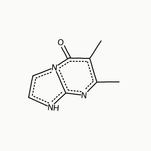 Cc1nc2[nH]ccn2c(=O)c1C